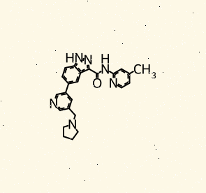 Cc1ccnc(NC(=O)c2n[nH]c3ccc(-c4cncc(CN5CCCC5)c4)cc23)c1